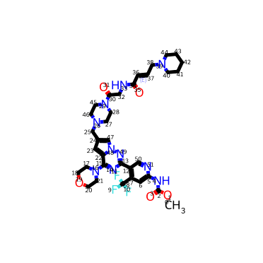 COC(=O)Nc1cc(C(F)(F)F)c(-c2nc(N3CCOCC3)c3cc(CN4CCN(C(=O)CNC(=O)/C=C/CN5CCCCC5)CC4)cn3n2)cn1